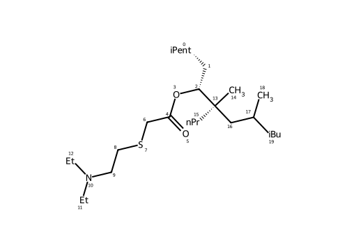 CCC[C@@H](C)C[C@@H](OC(=O)CSCCN(CC)CC)[C@](C)(CCC)CC(C)C(C)CC